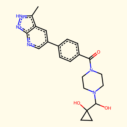 Cc1[nH]nc2ncc(-c3ccc(C(=O)N4CCN(C(O)C5(O)CC5)CC4)cc3)cc12